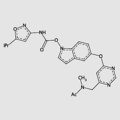 CC(=O)N(C)Cc1cc(Oc2ccc3c(ccn3OC(=O)Nc3cc(C(C)C)on3)c2)ncn1